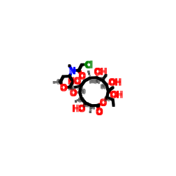 CC[C@H]1OC(=O)[C@H](C)[C@@H](O)[C@H](C)[C@H](O[C@H]2CC(N(C)C(=O)CCl)C[C@@H](C)O2)[C@](C)(O)C[C@H](C)[C@H](O)[C@@H](C)[C@H](O)C1(C)O